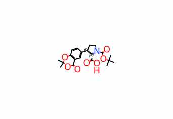 CC(C)(C)OC(=O)N1CC[C@H](c2ccc3c(c2)C(=O)OC(C)(C)O3)[C@H]1C(=O)O